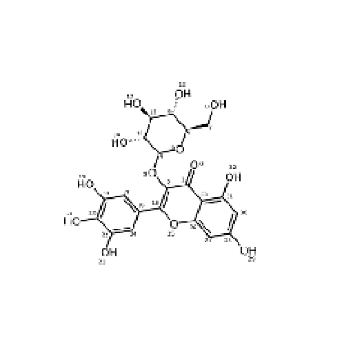 O=c1c(OC2O[C@H](CO)[C@@H](O)[C@H](O)[C@H]2O)c(-c2cc(O)c(O)c(O)c2)oc2cc(O)cc(O)c12